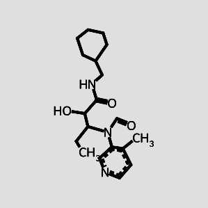 CCC(C(O)C(=O)NCC1CCCCC1)N(C=O)c1cnccc1C